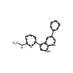 CNc1cccc(-c2c[nH]c3ncc(-c4ccccc4)cc23)n1